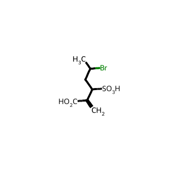 C=C(C(=O)O)C(CC(C)Br)S(=O)(=O)O